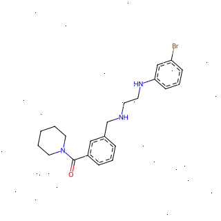 O=C(c1cccc(CNCCNc2cccc(Br)c2)c1)N1CCCCC1